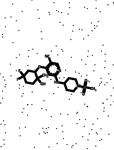 CC1(O)CCC(F)(F)CC1Oc1nc(NC2CCN(S(C)(=O)=O)CC2)ncc1C#N